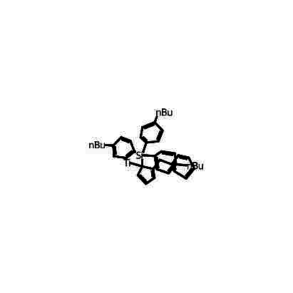 CCCCc1ccc([Si](c2ccc(CCCC)cc2)(c2ccc(CCCC)cc2)[C]2([Ti])C=CC=C2Cc2ccccc2)cc1